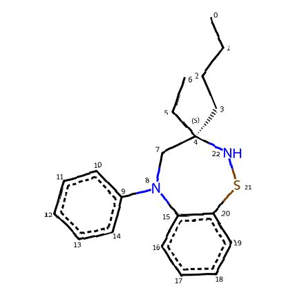 CCCC[C@@]1(CC)CN(c2ccccc2)c2ccccc2SN1